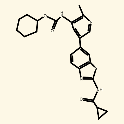 Cc1ncc(-c2ccc3nc(NC(=O)C4CC4)sc3c2)cc1NC(=O)OC1CCCCC1